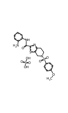 COc1ccc(S(=O)(=O)N2CCc3nc(C(=O)Nc4ccccc4N)sc3C2)cc1.O=S(=O)(O)O